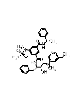 CCc1cncc(N(C)C[C@@H](O)[C@H](Cc2ccccc2)NC(=O)c2cc(C(=O)N[C@H](C)c3ccccc3)cc(N(C)S(C)(=O)=O)c2)c1